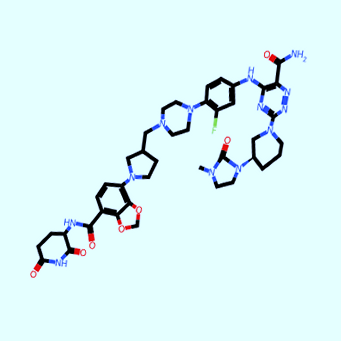 CN1CCN([C@@H]2CCCN(c3nnc(C(N)=O)c(Nc4ccc(N5CCN(CC6CCN(c7ccc(C(=O)NC8CCC(=O)NC8=O)c8c7OCO8)C6)CC5)c(F)c4)n3)C2)C1=O